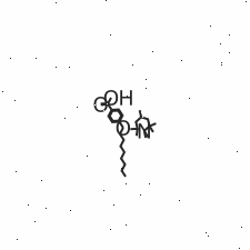 CC1CC(C)(C)N(C)C(C)(C)C1.CCCCCCCCOc1ccc(C(=O)O)cc1